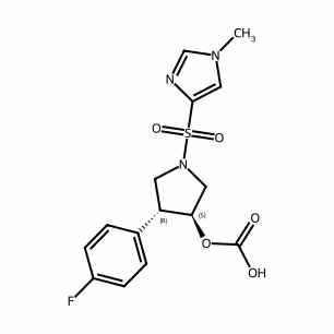 Cn1cnc(S(=O)(=O)N2C[C@@H](OC(=O)O)[C@H](c3ccc(F)cc3)C2)c1